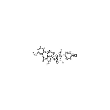 COc1cccc(-c2nnc(NS(=O)(=O)[C@@H](C)[C@H](OC)c3ncc(Cl)cn3)n2C2(CF)CC2)n1